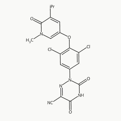 CC(C)c1cc(Oc2c(Cl)cc(-n3nc(C#N)c(=O)[nH]c3=O)cc2Cl)cn(C)c1=O